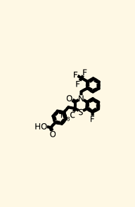 CC1(Cc2ccc(C(=O)O)cc2)Sc2c(F)cccc2N(Cc2ccccc2C(F)(F)F)C1=O